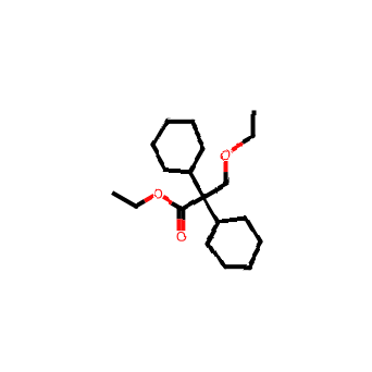 CCOCC(C(=O)OCC)(C1CCCCC1)C1CCCCC1